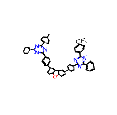 Cc1ccc(-c2nc(-c3ccccc3)nc(-c3ccc(-c4ccc5oc6ccc(-c7ccc(-c8nc(-c9ccccc9)nc(-c9ccc(C(F)(F)F)cc9)n8)cc7)cc6c5c4)cc3)n2)cc1